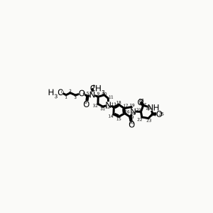 CCCCOC(=O)N(C)C1CCN(c2ccc3c(c2)CN(C2CCC(=O)NC2=O)C3=O)CC1